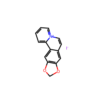 [I-].c1cc[n+]2ccc3cc4c(cc3c2c1)OCO4